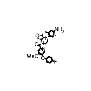 COc1cc(C(=O)N2CCN(c3cnc(N)cc3C)C[C@@H]2CO)ncc1Oc1ccc(F)cc1